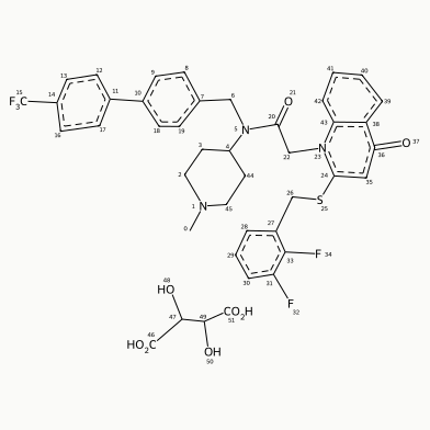 CN1CCC(N(Cc2ccc(-c3ccc(C(F)(F)F)cc3)cc2)C(=O)Cn2c(SCc3cccc(F)c3F)cc(=O)c3ccccc32)CC1.O=C(O)C(O)C(O)C(=O)O